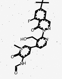 Cn1cc(-c2ccnc(-n3ncc4cc(C(C)(C)C)cc(F)c4c3=O)c2CO)cc(NC=O)c1=O